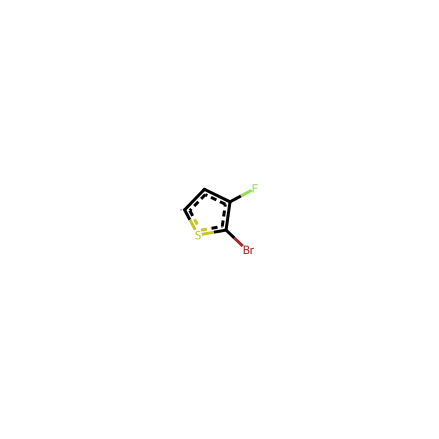 Fc1c[c]sc1Br